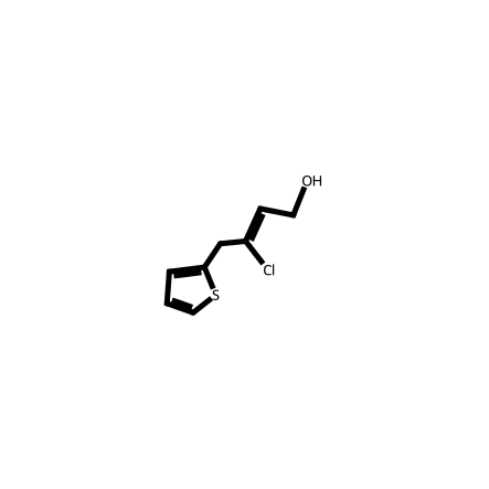 OCC=C(Cl)Cc1cccs1